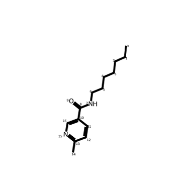 CCCCCCCNC(=O)c1ccc(C)nc1